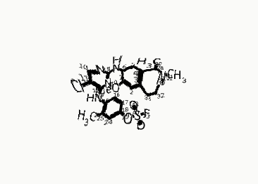 COc1cc2c(cc1Nc1ncc(Cl)c(Nc3ccc(OS(=O)(=O)F)cc3C)n1)C(C)N(C)CC2